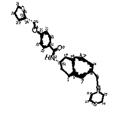 O=C(N[C@H]1CCc2cc(CN3CCSCC3)ccc2C1)c1ccc(OC[C@@H]2CCCO2)cc1